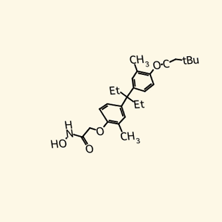 CCC(CC)(c1ccc(OCCC(C)(C)C)c(C)c1)c1ccc(OCC(=O)NO)c(C)c1